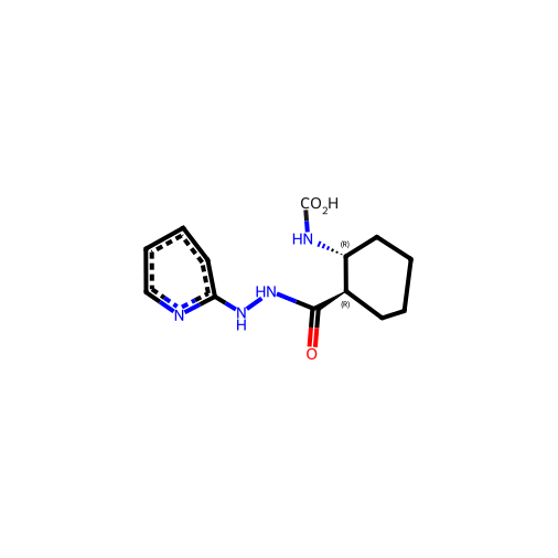 O=C(O)N[C@@H]1CCCC[C@H]1C(=O)NNc1ccccn1